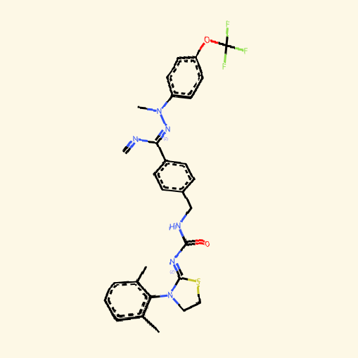 C=N/C(=N\N(C)c1ccc(OC(F)(F)F)cc1)c1ccc(CNC(=O)/N=C2\SCCN2c2c(C)cccc2C)cc1